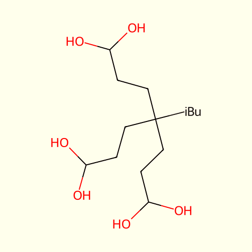 CCC(C)C(CCC(O)O)(CCC(O)O)CCC(O)O